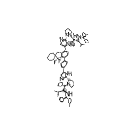 COC(=O)N[C@H](C(=O)N1CCC[C@H]1c1ncc(-c2ccc(-c3ccc(-c4cnc([C@@H]5CCCN5C(=O)[C@@H](NC(=O)OC)C(C)C)[nH]4)c4c3C(F)(F)C3(CCCCC3)C4)cc2)[nH]1)C(C)C